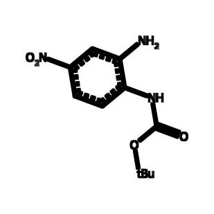 CC(C)(C)OC(=O)Nc1ccc([N+](=O)[O-])cc1N